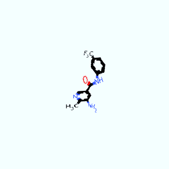 Cc1ncc(C(=O)Nc2cccc(C(F)(F)F)c2)cc1N